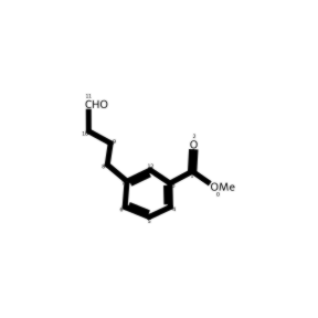 COC(=O)c1cccc(CCCC=O)c1